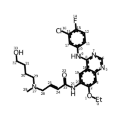 CCOc1cc2ncnc(Nc3ccc(F)c(Cl)c3)c2cc1NC(=O)/C=C/CN(C)CCCCO